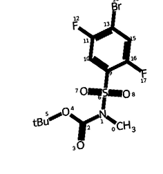 CN(C(=O)OC(C)(C)C)S(=O)(=O)c1cc(F)c(Br)cc1F